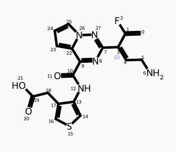 C=C(F)/C(=C\CN)c1nc(C(=O)Nc2cscc2CC(=O)O)c2cccn2n1